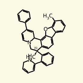 Cc1cccc2c1oc1c3c(ccc12)[C@](C)(c1ccccc1C1=CC=CCN1)CN1C=CC(c2ccccc2)=CC31